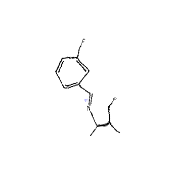 CC(F)C(C)/N=C/c1cccc(F)c1